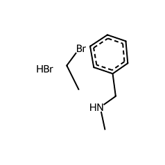 Br.CCBr.CNCc1ccccc1